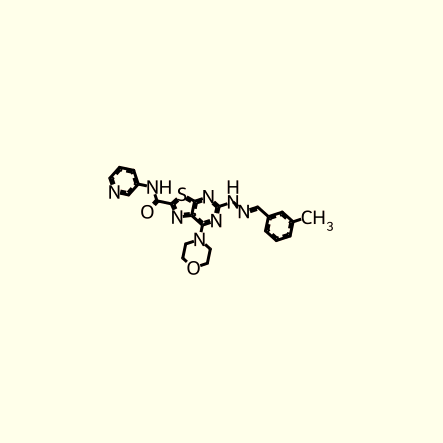 Cc1cccc(/C=N/Nc2nc(N3CCOCC3)c3nc(C(=O)Nc4cccnc4)sc3n2)c1